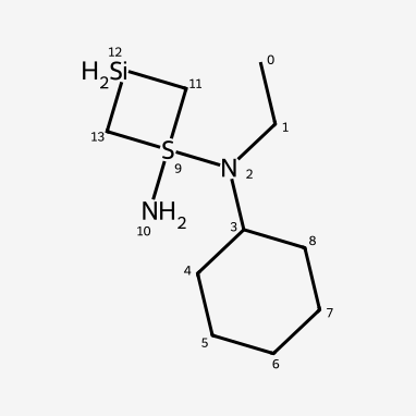 CCN(C1CCCCC1)S1(N)C[SiH2]C1